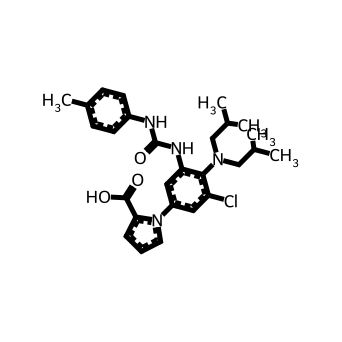 Cc1ccc(NC(=O)Nc2cc(-n3cccc3C(=O)O)cc(Cl)c2N(CC(C)C)CC(C)C)cc1